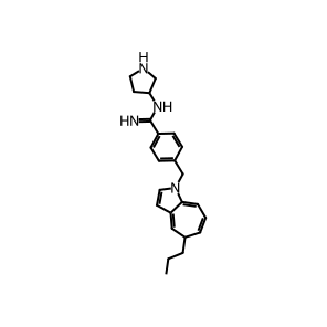 CCCC1C=CC=c2c(ccn2Cc2ccc(C(=N)NC3CCNC3)cc2)=C1